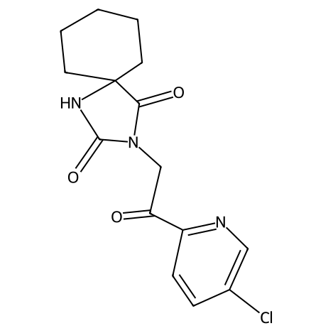 O=C(CN1C(=O)NC2(CCCCC2)C1=O)c1ccc(Cl)cn1